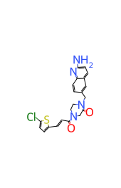 Nc1ccc2cc(CN3CCN(C(=O)/C=C/c4ccc(Cl)s4)CC3=O)ccc2n1